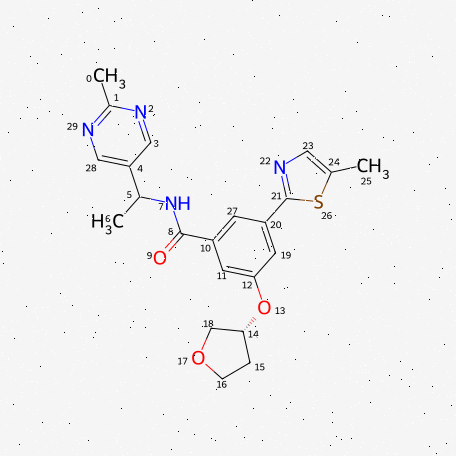 Cc1ncc(C(C)NC(=O)c2cc(O[C@@H]3CCOC3)cc(-c3ncc(C)s3)c2)cn1